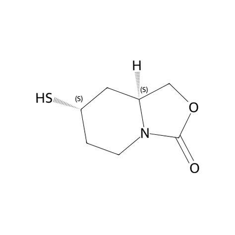 O=C1OC[C@@H]2C[C@@H](S)CCN12